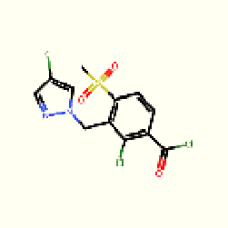 CS(=O)(=O)c1ccc(C(=O)Cl)c(Cl)c1Cn1cc(Cl)cn1